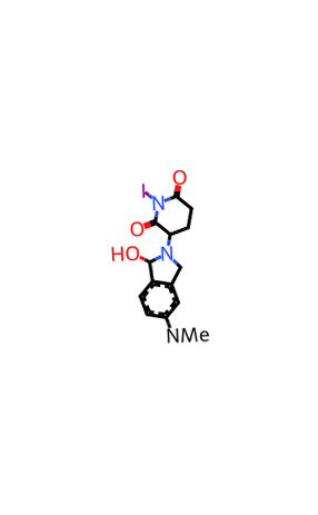 CNc1ccc2c(c1)CN(C1CCC(=O)N(I)C1=O)C2O